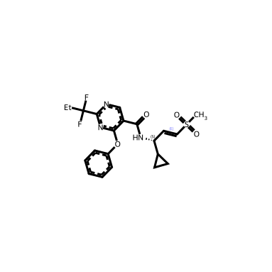 CCC(F)(F)c1ncc(C(=O)N[C@H](/C=C/S(C)(=O)=O)C2CC2)c(Oc2ccccc2)n1